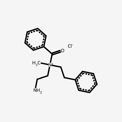 C[N+](CCN)(CCc1ccccc1)C(=O)c1ccccc1.[Cl-]